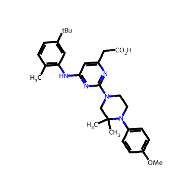 COc1ccc(N2CCN(c3nc(CC(=O)O)cc(Nc4cc(C(C)(C)C)ccc4C)n3)CC2(C)C)cc1